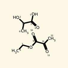 CC(O)C(=O)O.CCOC(=O)C(C)=O